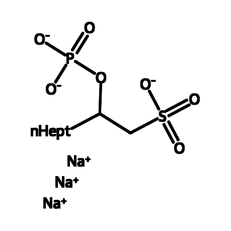 CCCCCCCC(CS(=O)(=O)[O-])OP(=O)([O-])[O-].[Na+].[Na+].[Na+]